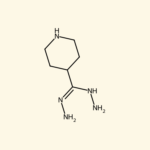 N/N=C(\NN)C1CCNCC1